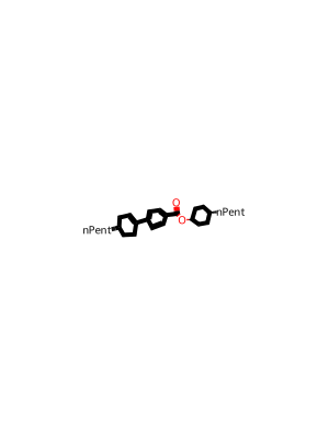 CCCCCC1CC=C(c2ccc(C(=O)O[C@H]3CC[C@H](CCCCC)CC3)cc2)CC1